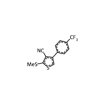 CSc1scc(-c2ccc(C(F)(F)F)cc2)c1C#N